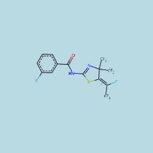 O=C(NC1=NC(C(F)(F)F)(C(F)(F)F)/C(=C(\F)C(F)(F)F)S1)c1cccc(F)c1